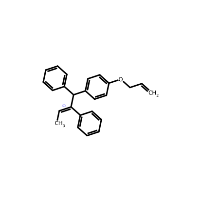 C=CCOc1ccc(C(/C(=C/C)c2ccccc2)c2ccccc2)cc1